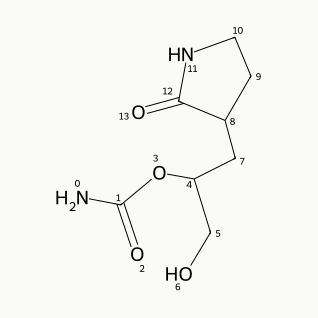 NC(=O)OC(CO)CC1CCNC1=O